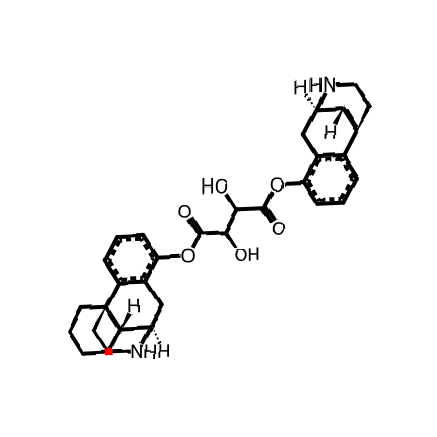 O=C(Oc1cccc2c1C[C@H]1NCC[C@@]23CCCC[C@@H]13)C(O)C(O)C(=O)Oc1cccc2c1C[C@H]1NCC[C@@]23CCCC[C@@H]13